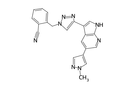 Cn1cc(-c2cnc3[nH]cc(-c4cn(Cc5ccccc5C#N)nn4)c3c2)cn1